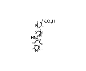 O=C(O)Cn1cnc(-c2nnc(Nc3ccc4[nH]ncc4c3)s2)c1